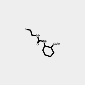 COC1CCCCC1NC(=O)NCCF